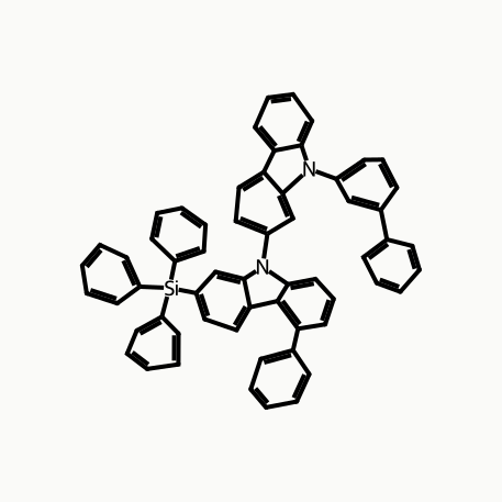 c1ccc(-c2cccc(-n3c4ccccc4c4ccc(-n5c6cc([Si](c7ccccc7)(c7ccccc7)c7ccccc7)ccc6c6c(-c7ccccc7)cccc65)cc43)c2)cc1